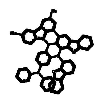 CC(C)(C)c1ccc2c(c1)c1cc(C(C)(C)C)cc3c1n2B1c2ccc(N(c4ccccc4)c4ccccc4)cc2N(c2cccc4c2oc2ccccc24)c2c1c-3cc1c2oc2ccccc21